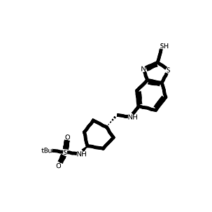 CC(C)(C)S(=O)(=O)N[C@H]1CC[C@H](CNc2ccc3sc(S)nc3c2)CC1